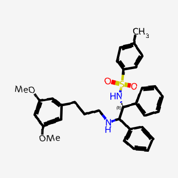 COc1cc(CCCNC(c2ccccc2)[C@H](NS(=O)(=O)c2ccc(C)cc2)c2ccccc2)cc(OC)c1